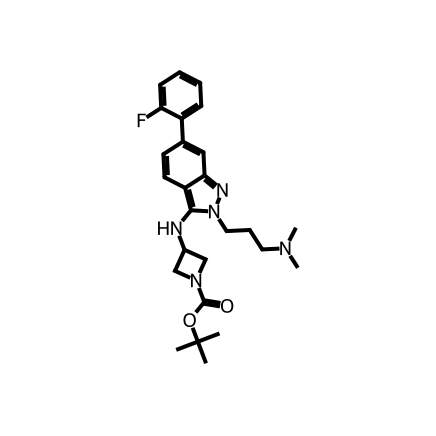 CN(C)CCCn1nc2cc(-c3ccccc3F)ccc2c1NC1CN(C(=O)OC(C)(C)C)C1